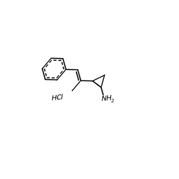 C/C(=C\c1ccccc1)C1CC1N.Cl